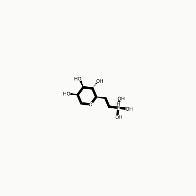 O[C@H]1[C@H](O)[C@@H](CC[PH](O)(O)O)OC[C@H]1O